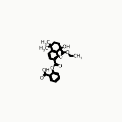 CCOC(=O)C1(O)CCC(C)(C)c2ccc(C(=O)Oc3ccccc3C(=O)O)cc21